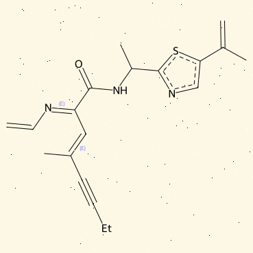 C=C/N=C(\C=C(/C)C#CCC)C(=O)NC(C)c1ncc(C(=C)C)s1